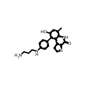 Cc1cc(O)c(-c2ccc(NCCCN)cc2)c2c1[nH]c(=O)c1sccc12